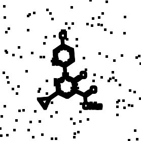 COC(=O)c1cc(C2CC2)nn(-c2ccc(Cl)cn2)c1=O